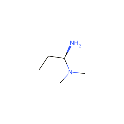 CC[C@@H](N)N(C)C